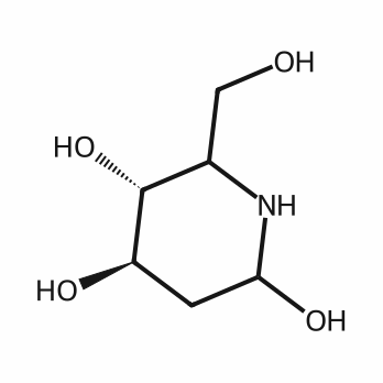 OCC1NC(O)C[C@@H](O)[C@@H]1O